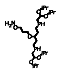 CC(C)OC(CPCCC(CCPCC(OC(C)C)OC(C)C)OCCCON)OC(C)C